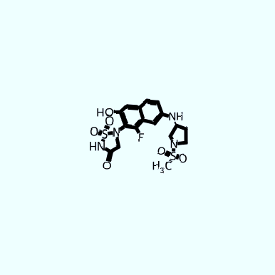 CS(=O)(=O)N1CC[C@@H](Nc2ccc3cc(O)c(N4CC(=O)NS4(=O)=O)c(F)c3c2)C1